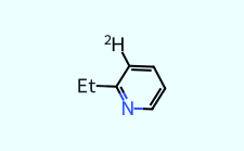 [2H]c1cccnc1CC